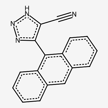 N#Cc1[nH]nnc1-c1c2ccccc2cc2ccccc12